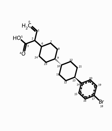 C=CC(C(=O)O)C1CCC([C@H]2CC[C@H](c3ccc(Br)cc3)CC2)CC1